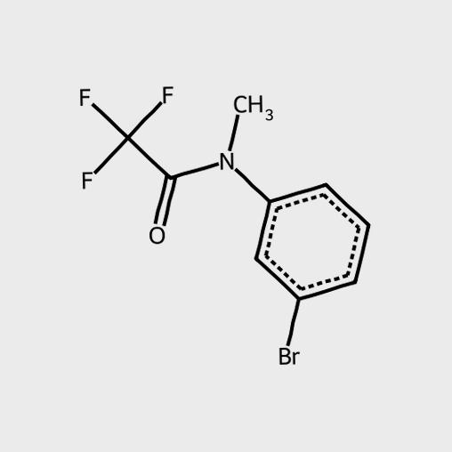 CN(C(=O)C(F)(F)F)c1cccc(Br)c1